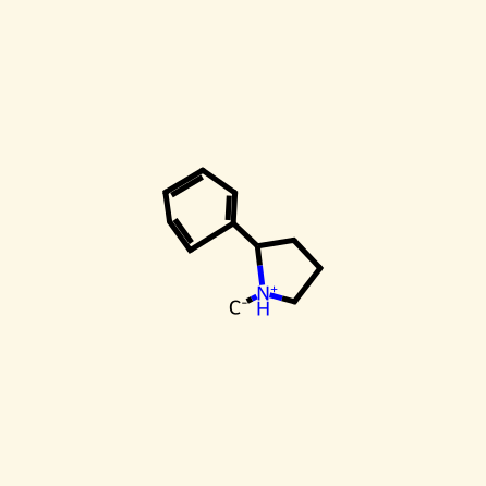 [CH2-][NH+]1CCCC1c1ccccc1